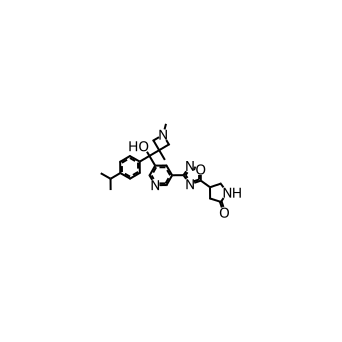 CC(C)c1ccc(C(O)(c2cncc(-c3noc(C4CNC(=O)C4)n3)c2)C2(C)CN(C)C2)cc1